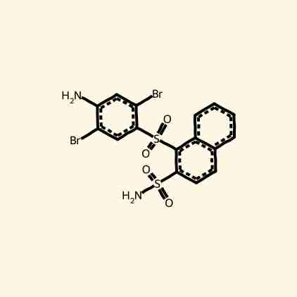 Nc1cc(Br)c(S(=O)(=O)c2c(S(N)(=O)=O)ccc3ccccc23)cc1Br